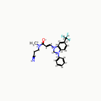 CN(CCC#N)C(=O)C=CN1CN(c2ccccc2)c2ccc(C(F)(F)F)cc21